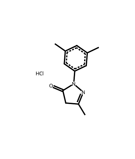 CC1=NN(c2cc(C)cc(C)c2)C(=O)C1.Cl